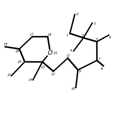 CCC(C)(C)C(C)C(C)C(C)CCC1(C)OCCC(C)C1C